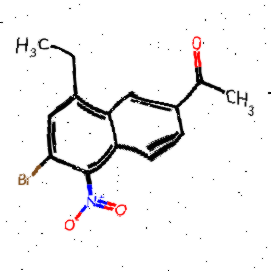 CCc1cc(Br)c([N+](=O)[O-])c2ccc(C(C)=O)cc12